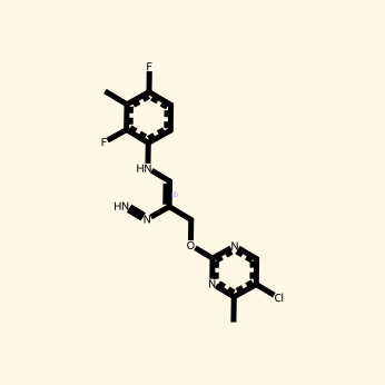 Cc1nc(OC/C(=C/Nc2ccc(F)c(C)c2F)N=N)ncc1Cl